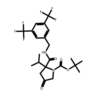 CC(C)C1(C(=O)NCc2cc(C(F)(F)F)cc(C(F)(F)F)c2)CC(=O)CN1C(=O)OC(C)(C)C